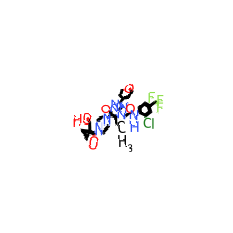 CCc1c(N2CCN(C(=O)C3(CO)CC3)CC2)c(=O)n2nc(C3=CCOCC3)nc2n1CC(=O)Nc1ccc(C(F)(F)F)cc1Cl